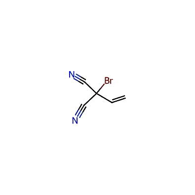 C=CC(Br)(C#N)C#N